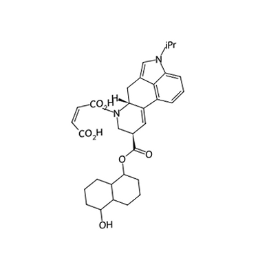 CC(C)n1cc2c3c(cccc31)C1=C[C@@H](C(=O)OC3CCCC4C(O)CCCC34)CN(C)[C@@H]1C2.O=C(O)/C=C\C(=O)O